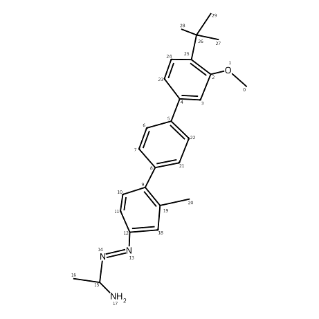 COc1cc(-c2ccc(-c3ccc(N=NC(C)N)cc3C)cc2)ccc1C(C)(C)C